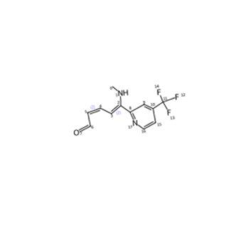 CN/C(=C\C=C/C=O)c1cc(C(F)(F)F)ccn1